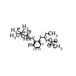 CCC(COS(C)(=O)=O)Cc1cccc(F)c1CNC(=O)OC(C)(C)C